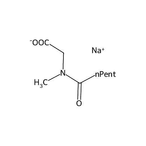 CCCCCC(=O)N(C)CC(=O)[O-].[Na+]